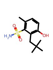 Cc1ccc(O)c(CC(C)(C)C)c1S(N)(=O)=O